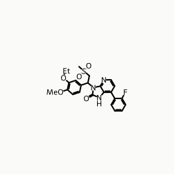 CCOc1cc(C(CS(C)(=O)=O)n2c(=O)[nH]c3c(-c4ccccc4F)ccnc32)ccc1OC